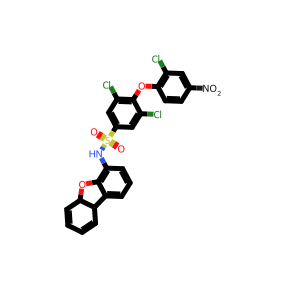 O=[N+]([O-])c1ccc(Oc2c(Cl)cc(S(=O)(=O)Nc3cccc4c3OC3C=CC=CC43)cc2Cl)c(Cl)c1